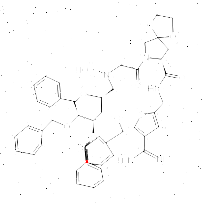 C[C@H](OCc1ccccc1)[C@H](OCc1ccccc1)[C@@H](OCc1ccccc1)[C@H](CN(CC(=O)N1CC2(C[C@H]1C(=O)NCc1cc(C(=N)N)cs1)OCCO2)C(=O)O)OCc1ccccc1